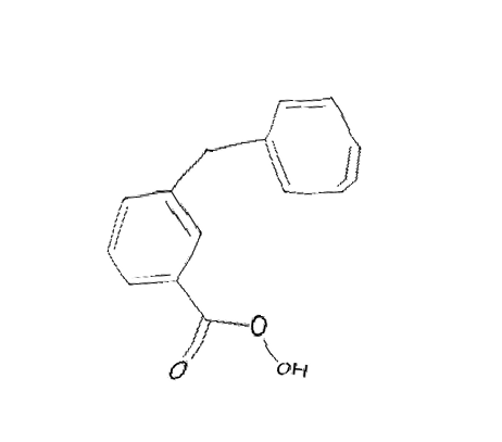 O=C(OO)c1cccc(Cc2ccccc2)c1